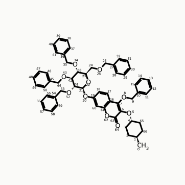 C[C@H]1CC[C@H](Oc2c(OCc3ccccc3)c3ccc(O[C@@H]4O[C@H](COCc5ccccc5)[C@@H](OCc5ccccc5)[C@H](OCc5ccccc5)[C@H]4OCc4ccccc4)cc3oc2=O)CC1